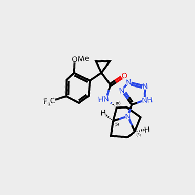 COc1cc(C(F)(F)F)ccc1C1(C(=O)N[C@@H]2CC[C@H]3CC[C@@H]2N3c2nnn[nH]2)CC1